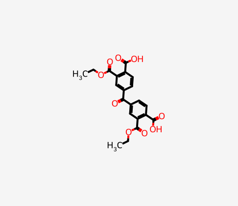 CCOC(=O)c1cc(C(=O)c2ccc(C(=O)O)c(C(=O)OCC)c2)ccc1C(=O)O